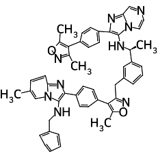 Cc1ccc2nc(-c3ccc(-c4c(Cc5cccc([C@H](C)Nc6c(-c7ccc(-c8c(C)noc8C)cc7)nc7cnccn67)c5)noc4C)cc3)c(NCc3ccccc3)n2c1